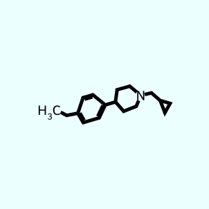 CCc1ccc(C2CCN(CC3CC3)CC2)cc1